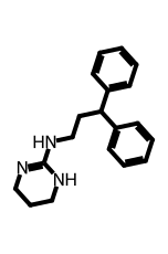 c1ccc(C(CCNC2=NCCCN2)c2ccccc2)cc1